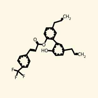 C=CCc1ccc(O)c(-c2cc(CC=C)ccc2OC(=O)/C=C/c2ccc(C(F)(F)F)cc2)c1